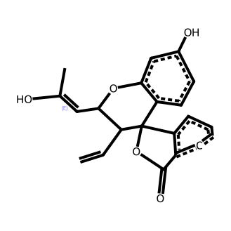 C=CC1C(/C=C(\C)O)Oc2cc(O)ccc2C12OC(=O)c1ccccc12